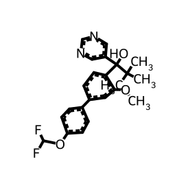 COc1cc(-c2ccc(OC(F)F)cc2)ccc1C(O)(c1cncnc1)C(C)(C)C